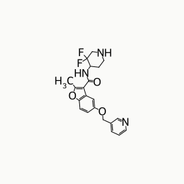 Cc1oc2ccc(OCc3cccnc3)cc2c1C(=O)NC1CCNCC1(F)F